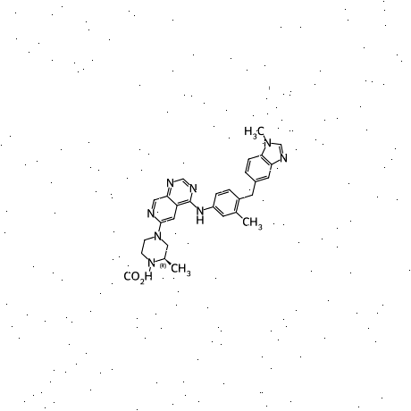 Cc1cc(Nc2ncnc3cnc(N4CCN(C(=O)O)[C@H](C)C4)cc23)ccc1Cc1ccc2c(c1)ncn2C